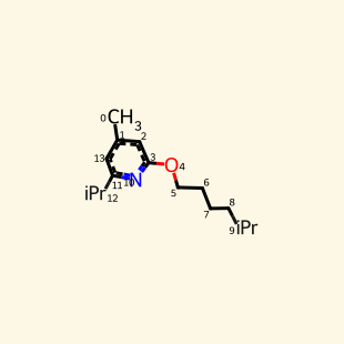 Cc1cc(OCCCCC(C)C)nc(C(C)C)c1